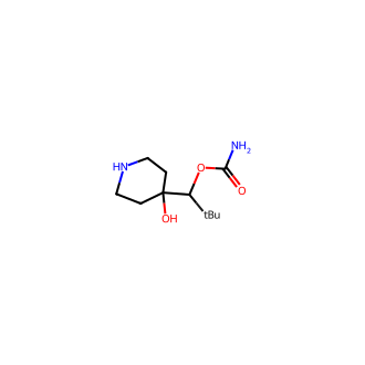 CC(C)(C)C(OC(N)=O)C1(O)CCNCC1